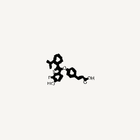 CC(C)c1ccccc1-c1sc2c(F)c(O)ccc2c1Oc1ccc(/C=C/C(=O)O)cc1